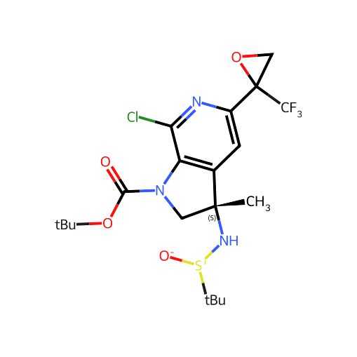 CC(C)(C)OC(=O)N1C[C@@](C)(N[S+]([O-])C(C)(C)C)c2cc(C3(C(F)(F)F)CO3)nc(Cl)c21